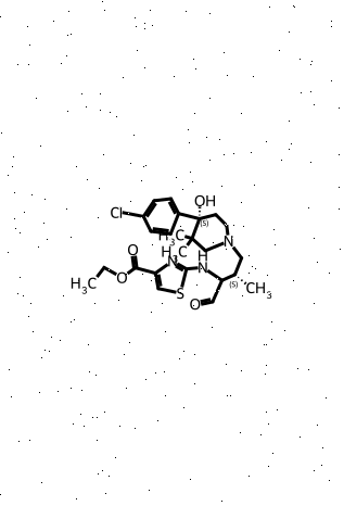 CCOC(=O)c1csc(NC(C=O)[C@@H](C)CN2CC[C@](O)(c3ccc(Cl)cc3)C(C)(C)C2)n1